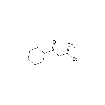 C=C(CC)CC(=O)C1CCCCC1